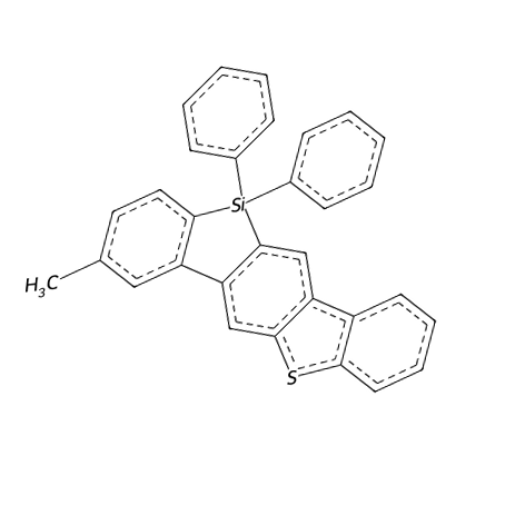 Cc1ccc2c(c1)-c1cc3sc4ccccc4c3cc1[Si]2(c1ccccc1)c1ccccc1